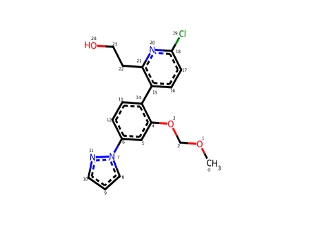 COCOc1cc(-n2cccn2)ccc1-c1ccc(Cl)nc1CCO